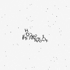 CCN(C[C@@H](O)C(F)(F)F)C(=O)Nc1cnc(Oc2cc(F)cc(F)c2)c(C)n1